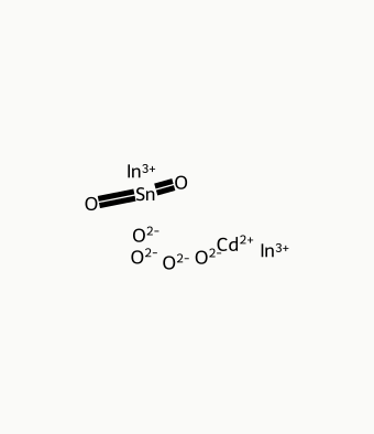 [Cd+2].[In+3].[In+3].[O-2].[O-2].[O-2].[O-2].[O]=[Sn]=[O]